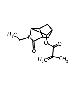 C=C(C)C(=O)OC1C2CC3C(=O)N(CC)C1C3C2